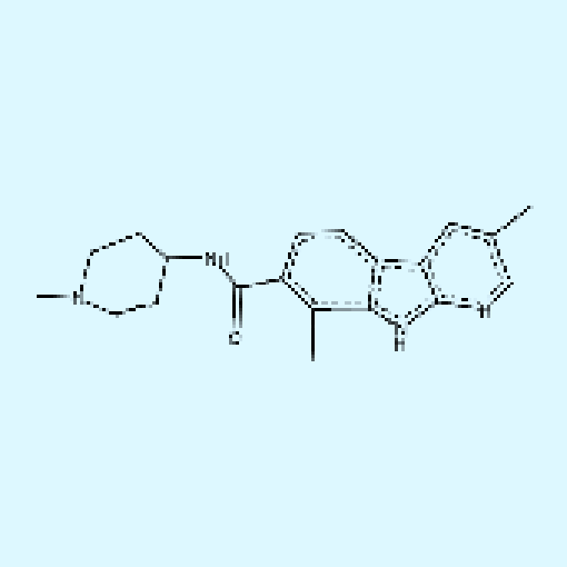 Cc1cnc2[nH]c3c(C)c(C(=O)NC4CCN(C)CC4)ccc3c2c1